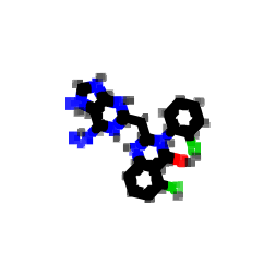 Nc1nc(Cc2nc3cccc(Cl)c3c(=O)n2-c2ccccc2Cl)nc2nc[nH]c12